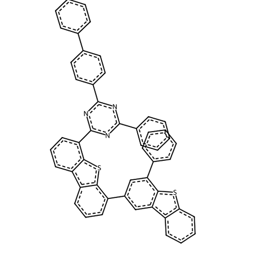 c1ccc(-c2ccc(-c3nc(-c4ccccc4)nc(-c4cccc5c4sc4c(-c6cc(-c7ccccc7)c7sc8ccccc8c7c6)cccc45)n3)cc2)cc1